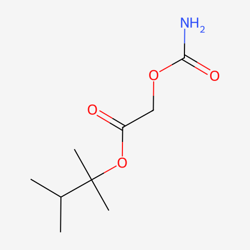 CC(C)C(C)(C)OC(=O)COC(N)=O